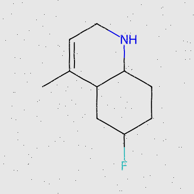 CC1=CCNC2CCC(F)CC12